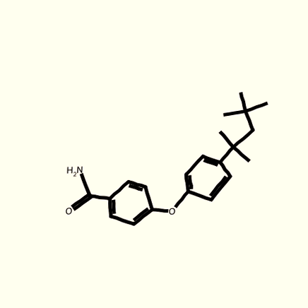 CC(C)(C)CC(C)(C)c1ccc(Oc2ccc(C(N)=O)cc2)cc1